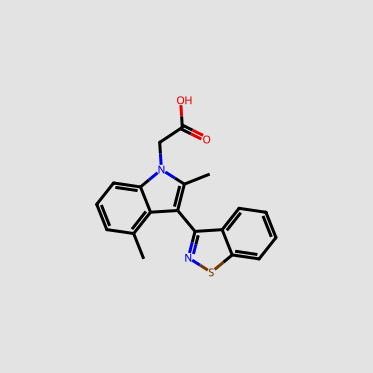 Cc1cccc2c1c(-c1nsc3ccccc13)c(C)n2CC(=O)O